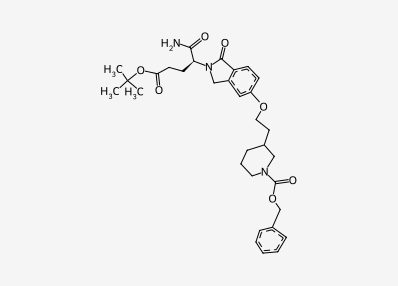 CC(C)(C)OC(=O)CC[C@@H](C(N)=O)N1Cc2cc(OCCC3CCCN(C(=O)OCc4ccccc4)C3)ccc2C1=O